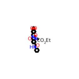 CCOC(=O)Cn1c(=O)n(Cc2ccc3c(c2)OCO3)c(=O)c2ccc(C(=O)NC3CCCCC3)cc21